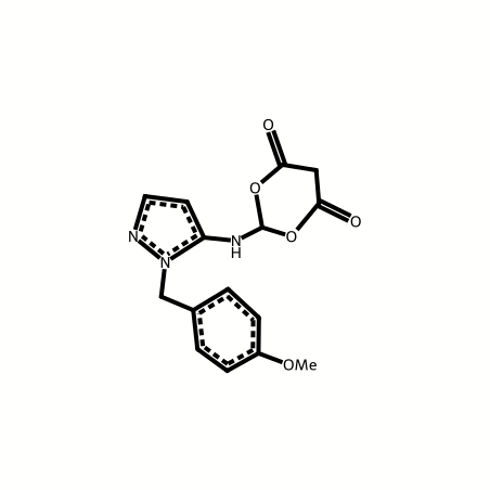 COc1ccc(Cn2nccc2NC2OC(=O)CC(=O)O2)cc1